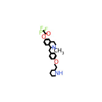 CN1CCc2cc(OC(=O)C(F)(F)F)ccc2C1Cc1ccc(OCCC2CCCCN2)cc1